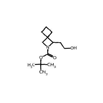 CC(C)(C)OC(=O)N1CC2(CCC2)C1CCO